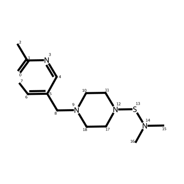 C=C(C)/N=C\C(=C/C)CN1CCN(SN(C)C)CC1